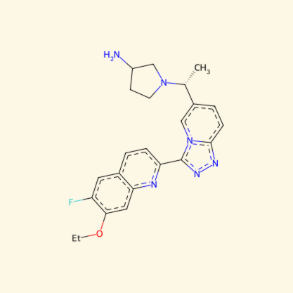 CCOc1cc2nc(-c3nnc4ccc([C@@H](C)N5CCC(N)C5)cn34)ccc2cc1F